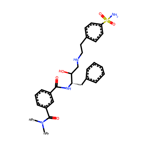 CCCN(CCC)C(=O)c1cccc(C(=O)N[C@@H](Cc2ccccc2)C(O)CNCCc2ccc(S(N)(=O)=O)cc2)c1